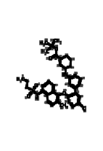 CCCS(=O)(=O)Nc1cccc2c(Oc3ncc(Cl)cc3-c3ccnc(N[C@H]4CCCN(C(=O)OC(C)(C)C)C4)n3)c(C)ccc12